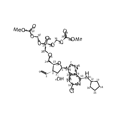 C=C[C@H]1[C@@H](O)[C@H](n2cnc3c(NC4CCCC4)nc(Cl)nc32)O[C@@H]1COCP(=O)(OCOC(=O)OC)OCOC(=O)OC